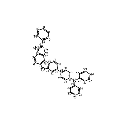 c1ccc(-c2nc3ccc4oc5cc(-c6ccc(N(c7ccccc7)c7ccccc7)cc6)ccc5c4c3o2)cc1